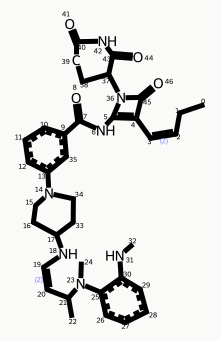 CC/C=C\C1=C(NC(=O)c2cccc(N3CCC(N/C=C\C(C)N(C)c4ccccc4NC)CC3)c2)N(C2CCC(=O)NC2=O)C1=O